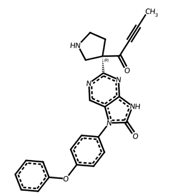 CC#CC(=O)[C@]1(c2ncc3c(n2)[nH]c(=O)n3-c2ccc(Oc3ccccc3)cc2)CCNC1